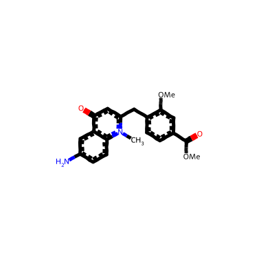 COC(=O)c1ccc(Cc2cc(=O)c3cc(N)ccc3n2C)c(OC)c1